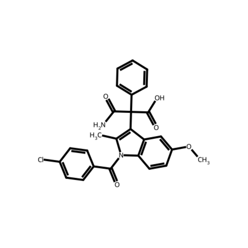 COc1ccc2c(c1)c(C(C(N)=O)(C(=O)O)c1ccccc1)c(C)n2C(=O)c1ccc(Cl)cc1